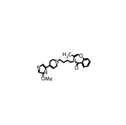 COc1cncc(C2=CCN(CCCCN3C(=O)c4ccccc4OC=C3C)CC2)n1